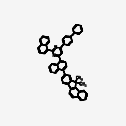 CC1(C)c2cc(-c3ccc(-c4cc(-c5ccc(-c6ccccc6)cc5)nc(-c5cccc6ccccc56)n4)c4ccccc34)ccc2-c2ccc3ccccc3c21